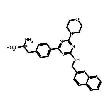 N[C@@H](Cc1ccc(-c2nc(NCc3ccc4ccccc4c3)nc(N3CCOCC3)n2)cc1)C(=O)O